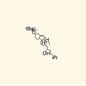 CC(C)CCC[C@@H](CO)[C@H]1CC[C@H]2C3=CC=C4CC(O[Si](C)(C)C(C)(C)C)CC[C@]4(C)[C@H]3CC[C@]12C